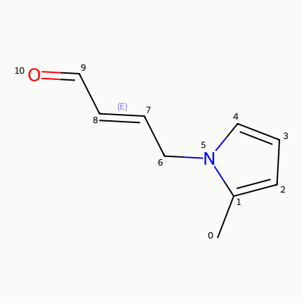 Cc1cccn1C/C=C/C=O